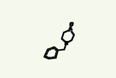 O=[P]1CCN(Cc2ccccc2)CC1